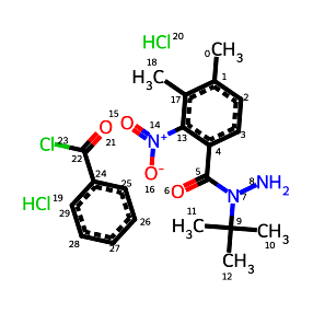 Cc1ccc(C(=O)N(N)C(C)(C)C)c([N+](=O)[O-])c1C.Cl.Cl.O=C(Cl)c1ccccc1